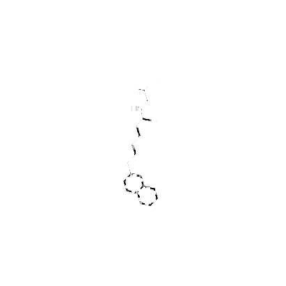 CC(C)CNC(=O)C=CC=CCc1ccc2ccccc2c1